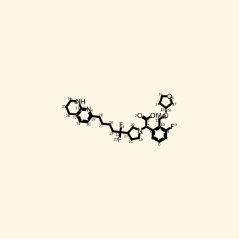 COC(=O)C(c1cccc(F)c1CO[C@H]1CCOC1)N1CCC(C(F)(F)CCCCc2ccc3c(n2)NCCC3)C1